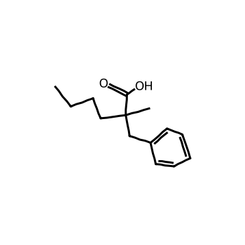 CCCCC(C)(Cc1ccccc1)C(=O)O